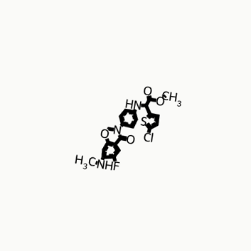 CNc1cc2c(cc1F)C(=O)N(c1ccc(NC(C(=O)OC)c3ccc(Cl)s3)cc1)CO2